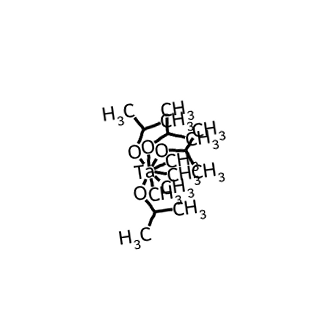 CC(C)[O][Ta]([CH3])([CH3])([CH3])([CH3])([O]C(C)C)([O]C(C)C)[O]C(C)C